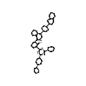 c1ccc(-c2ccc(-c3nc(-c4ccccc4)nc(-c4cccc5c4oc4cc(-c6ccc(-c7ccc8ccccc8c7)cc6)c6ccccc6c45)n3)cc2)cc1